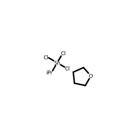 C1CCOC1.C[CH](C)[Sn]([Cl])([Cl])[Cl]